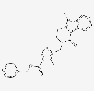 Cc1c(CC2CCc3c(c4ccccc4n3C)C2=O)ncn1C(=O)OCc1ccccc1